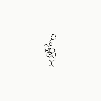 CC(C)C1=CC2=CC[C@@H]3[C@](C)(CCC[C@@]3(C)C(=O)OCc3ccccc3)[C@H]2CC1